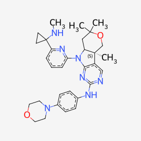 CNC1(c2cccc(N3c4nc(Nc5ccc(N6CCOCC6)cc5)ncc4[C@]4(C)COC(C)(C)CC34)n2)CC1